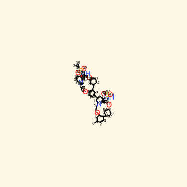 Cc1ccc2c(c1)OCCN1CC(c3ccc4c(c3)C3CCC(CC3)OC[C@H]3[C@@H](NS(=O)(=O)C5CC5)CCCN3CCO4)CC(NS(C)(=O)=O)[C@@H]1COC1CCC2CC1